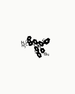 CC(C)(C)c1ccc(N2B3c4cc5c(cc4-n4c6ccc7c(c6c6ccc(c3c64)-c3cc4sc6ccccc6c4cc32)-c2ccccc2C7(C)C)sc2ccccc25)cc1